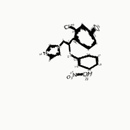 Clc1ccc(C(Cn2ccnc2)SC2CCCCC2)c(Cl)c1.O=[N+]([O-])O